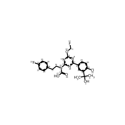 CC(C)(O)c1cc(-c2nc(OCF)nc(N(CCc3ccc(F)cc3)C(=O)O)n2)ccc1Cl